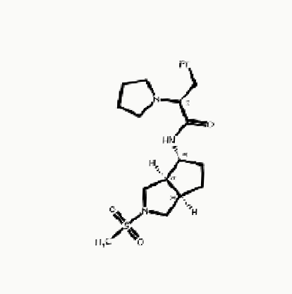 CC(C)C[C@@H](C(=O)N[C@@H]1CC[C@H]2CN(S(C)(=O)=O)C[C@H]21)N1CCCC1